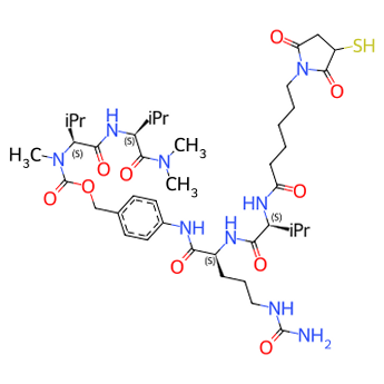 CC(C)[C@H](NC(=O)CCCCCN1C(=O)CC(S)C1=O)C(=O)N[C@@H](CCCNC(N)=O)C(=O)Nc1ccc(COC(=O)N(C)[C@H](C(=O)N[C@H](C(=O)N(C)C)C(C)C)C(C)C)cc1